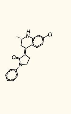 C[C@H]1C/C(=C2/CCN(c3ccccc3)C2=O)c2ccc(Cl)cc2N1